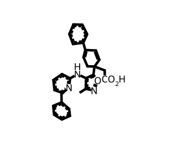 Cc1noc(C2(CC(=O)O)C=CC(c3ccccc3)=CC2)c1Nc1cccc(-c2ccccc2)n1